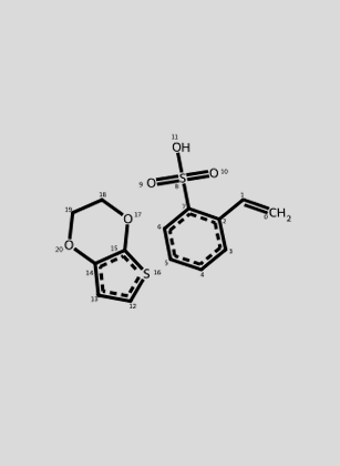 C=Cc1ccccc1S(=O)(=O)O.c1cc2c(s1)OCCO2